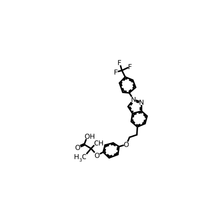 CC(C)(Oc1ccc(OCCc2ccc3nn(-c4ccc(C(F)(F)F)cc4)cc3c2)cc1)C(=O)O